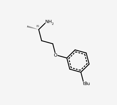 C[C@H](N)CCOc1cccc(C(C)(C)C)c1